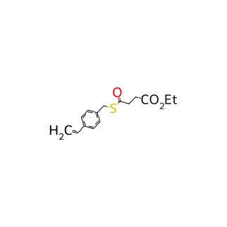 C=Cc1ccc(CSC(=O)CCC(=O)OCC)cc1